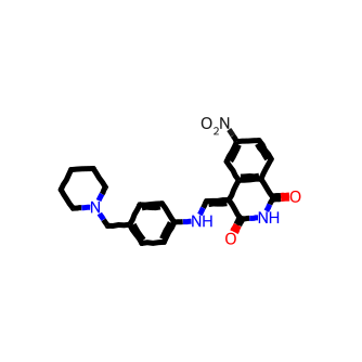 O=C1NC(=O)c2ccc([N+](=O)[O-])cc2/C1=C/Nc1ccc(CN2CCCCC2)cc1